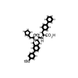 CC(C)(C)c1ccc(-c2ccc3c(c2)CN(C(=O)CC2CCCC2)[C@H](C(=O)N[C@@H](Cc2ccc(-c4ccccc4)cc2)C(=O)O)C3)cc1